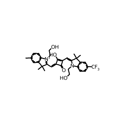 Cc1ccc2c(c1)C(C)(C)C(/C=C1/C(=O)C(/C=C3\N(CCO)c4ccc(C(F)(F)F)cc4C3(C)C)=C1O)=[N+]2CCO